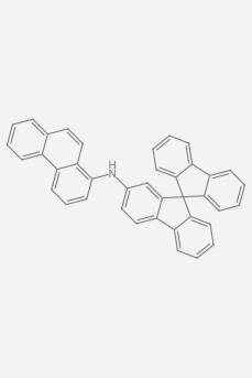 c1ccc2c(c1)-c1ccccc1C21c2ccccc2-c2ccc(Nc3cccc4c3ccc3ccccc34)cc21